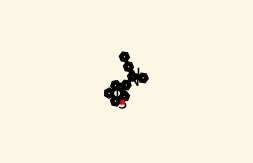 c1ccc(-c2ccc(-c3cc(-c4ccc5c(c4)c4cccc6c7ccccc7c7cccc8sc9cccc(c9c87)n5c64)nc(-c4ccccc4)n3)cc2)cc1